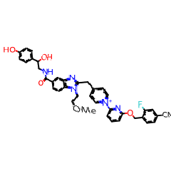 COCCn1c(Cc2cc[n+](-c3cccc(OCc4ccc(C#N)cc4F)n3)cc2)nc2cc(C(=O)NCC(O)c3ccc(O)cc3)ccc21